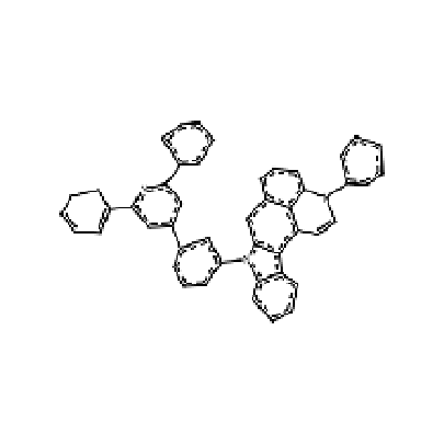 C1=CCCC(c2cc(-c3cccc(-n4c5ccccc5c5c6c7c(cccc7cc54)N(c4ccccc4)C=C6)c3)cc(-c3ccccc3)n2)=C1